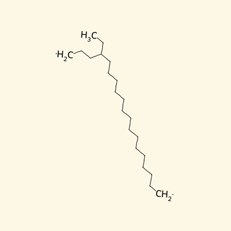 [CH2]CCCCCCCCCCCCCCC(CC)CC[CH2]